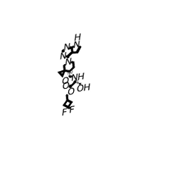 O=C(N[C@H](CO)C(=O)OCC1CC(F)(F)C1)[C@H]1CCN(c2ncnc3[nH]ccc23)CC12CC2